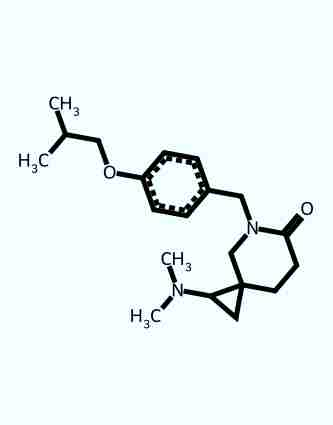 CC(C)COc1ccc(CN2CC3(CCC2=O)CC3N(C)C)cc1